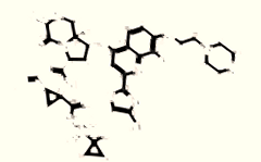 C=C[C@@H]1C[C@]1(NC(=O)[C@@H]1C[C@@H](Oc2cc(-c3nc(C(C)C)cs3)nc3c(Cl)c(OCCN4CCOCC4)ccc23)[C@H]2CN[C@H](C(C)C)C(=O)N21)C(=O)NS(=O)(=O)C1(C)CC1